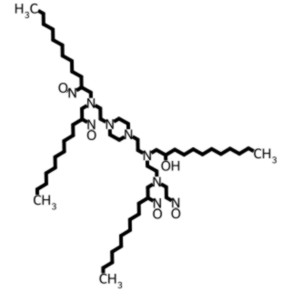 CCCCCCCCCCC(O)CN(CCN1CCN(CCN(CC(CCCCCCCCCC)N=O)CC(CCCCCCCCCC)N=O)CC1)CCN(CCN=O)CC(CCCCCCCCCC)N=O